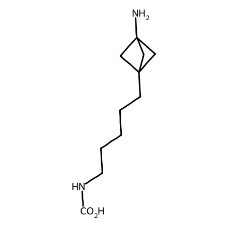 NC12CC(CCCCCNC(=O)O)(C1)C2